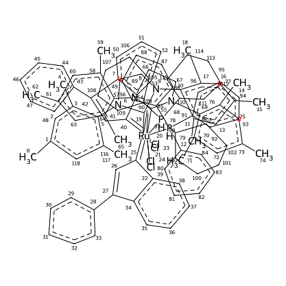 Cc1cc(C)c(N2CCN(c3c(C)cc(C)cc3C)[C]2=[Ru]([Cl])([Cl])([Cl])([Cl])(=[C]2C=C(c3ccccc3)c3ccccc32)(=[C]2C=C(c3ccccc3)c3ccccc32)(=[C]2N(c3c(C)cc(C)cc3C)CCN2c2c(C)cc(C)cc2C)([PH](c2ccccc2)(c2ccccc2)c2ccccc2)[PH](C2CCCCC2)(C2CCCCC2)C2CCCCC2)c(C)c1